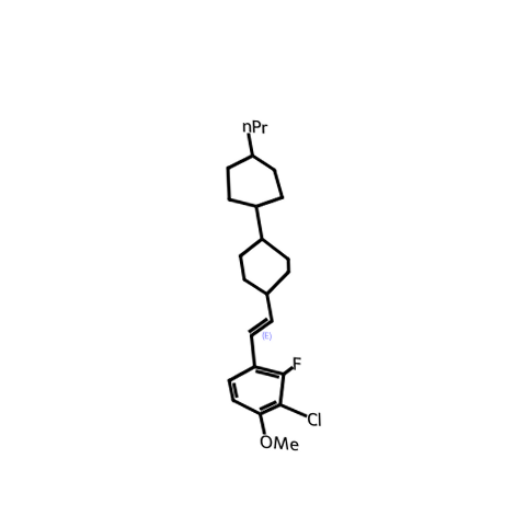 CCCC1CCC(C2CCC(/C=C/c3ccc(OC)c(Cl)c3F)CC2)CC1